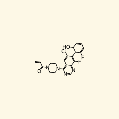 C=CC(=O)N1CCN(c2ncnc3c(F)c([C@@H]4C(F)=CC=CC4O)c(Cl)cc23)CC1